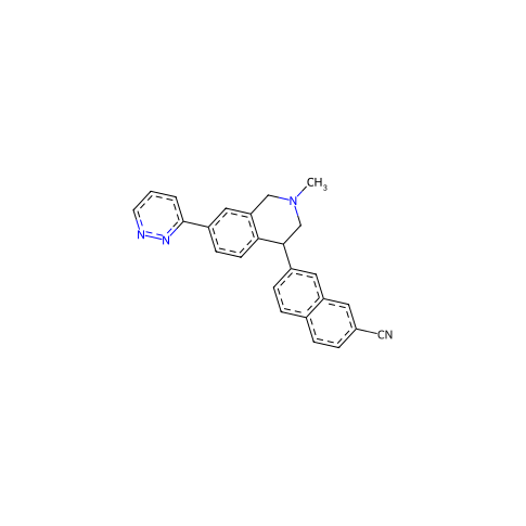 CN1Cc2cc(-c3cccnn3)ccc2C(c2ccc3ccc(C#N)cc3c2)C1